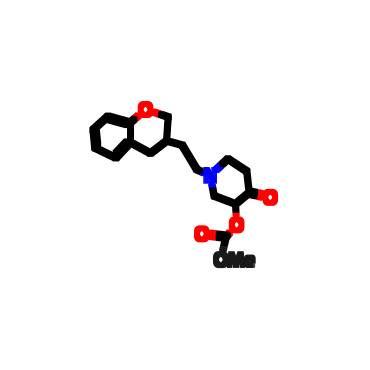 COC(=O)OC1CN(CCC2COc3ccccc3C2)CCC1=O